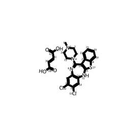 CN1CCN(C2=Nc3cc(Cl)c(Cl)cc3Nc3sc4ccccc4c32)CC1.O=C(O)/C=C/C(=O)O